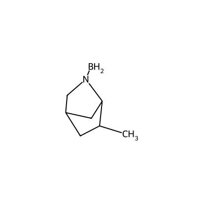 BN1CC2CC(C)C1C2